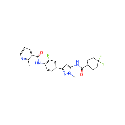 Cc1ncccc1C(=O)Nc1ccc(-c2cc(NC(=O)C3CCC(F)(F)CC3)n(C)n2)cc1F